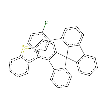 Clc1ccccc1-c1cccc2c1C1(c3ccccc3-2)c2ccccc2-c2c1ccc1sc3ccccc3c21